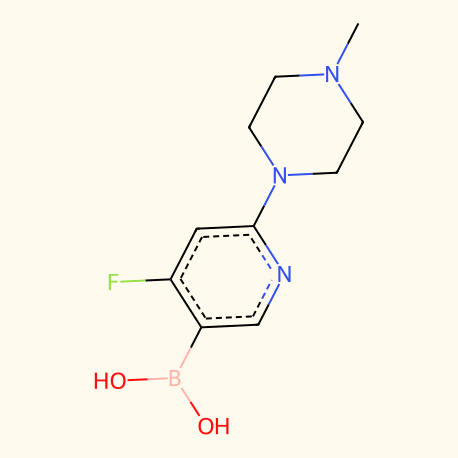 CN1CCN(c2cc(F)c(B(O)O)cn2)CC1